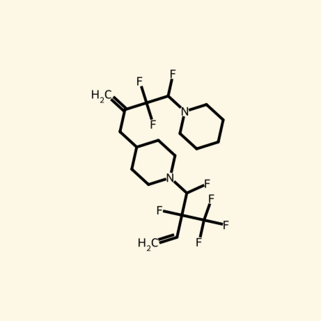 C=CC(F)(C(F)N1CCC(CC(=C)C(F)(F)C(F)N2CCCCC2)CC1)C(F)(F)F